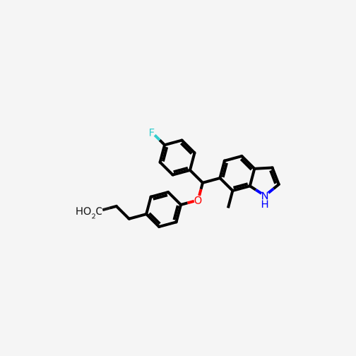 Cc1c(C(Oc2ccc(CCC(=O)O)cc2)c2ccc(F)cc2)ccc2cc[nH]c12